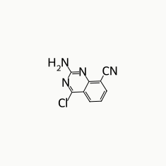 N#Cc1cccc2c(Cl)nc(N)nc12